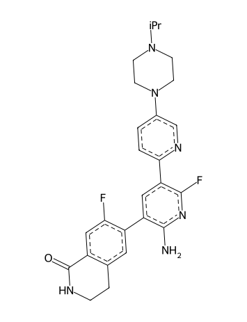 CC(C)N1CCN(c2ccc(-c3cc(-c4cc5c(cc4F)C(=O)NCC5)c(N)nc3F)nc2)CC1